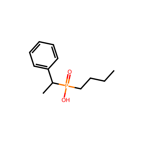 CCCCP(=O)(O)C(C)c1ccccc1